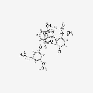 COc1cc(OC)cc(OCC(=O)O[C@@]2(c3ccccc3)c3cc(Cl)ccc3N(C)C(=O)CN2C(C)=O)c1